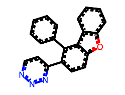 c1ccc(-c2c(-c3ccnnn3)ccc3oc4ccccc4c23)cc1